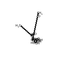 CCCCCCCCCCCCCCCC(=O)O[C@H](COC(=O)CCCCCCCCCCCCCCCCSC(=O)CCC)COP(=O)(O)OC1C(O)[C@@H](OP(=O)(O)O)C(O)[C@@H](O)[C@H]1O